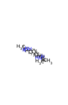 Cc1ncc(-c2ccc3c(c2)CCc2cc(-c4cnc(C(C)C)[nH]4)ccc2-3)[nH]1